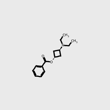 CCN(CC)[C@H]1C[C@H](OC(=O)c2ccccc2)C1